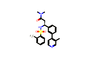 Cc1cnccc1-c1cccc([C@H](CC(=O)N(C)C)NS(=O)(=O)c2ccccc2C(F)(F)F)c1